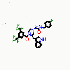 O=C(CN1CCN(C(=O)c2cc(C(F)(F)F)cc(C(F)(F)F)c2)[C@H](Cc2c[nH]c3ccccc23)C1)NCc1ccc(F)cc1